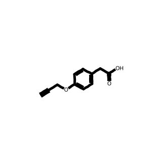 C#CCOc1ccc(CC(=O)O)cc1